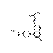 COC(=O)/C=C/c1ccc2cc(Br)cc(N3CCN(C(=O)OC(C)(C)C)CC3)c2n1